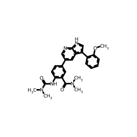 COc1ccccc1-c1c[nH]c2ncc(-c3ccc(NC(=O)N(C)C)c(C(=O)N(C)C)c3)cc12